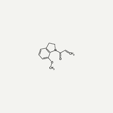 C=CC(=O)N1CCc2cccc(OC)c21